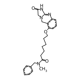 CN(Cc1ccccc1)C(=O)CCCCCCOc1cccc2c1CN1CC(=O)NC1=N2